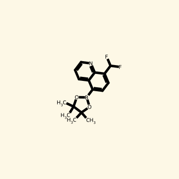 CC1(C)OB(c2ccc(C(F)F)c3ncccc23)OC1(C)C